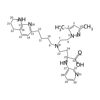 Cc1cc(C)n(CCN(CCCCc2ccc3c(n2)NCCC3)CCC(Nc2cccnc2)C(=O)O)n1